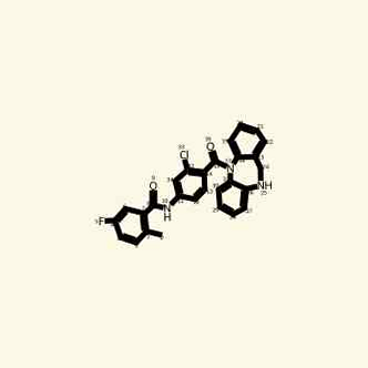 Cc1ccc(F)cc1C(=O)Nc1ccc(C(=O)N2c3ccccc3CNc3ccccc32)c(Cl)c1